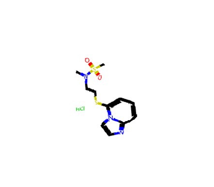 CN(CCSc1cccc2nccn12)S(C)(=O)=O.Cl